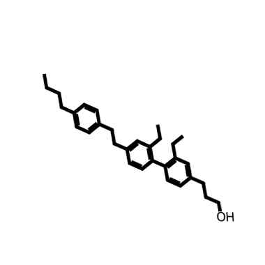 CCCCc1ccc(CCc2ccc(-c3ccc(CCCO)cc3CC)c(CC)c2)cc1